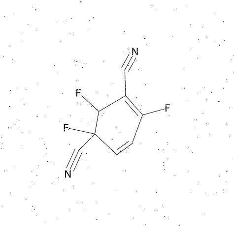 N#CC1=C(F)C=CC(F)(C#N)C1F